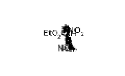 CCOC(=O)c1cccc([N+](=O)[O-])c1NCc1ccc(-n2cc(C)cc2C#N)cc1